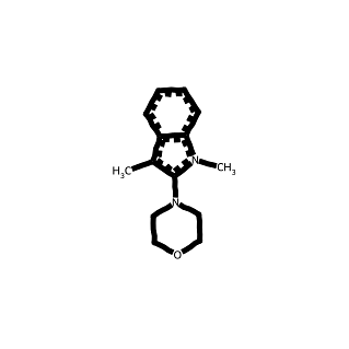 Cc1c(N2CCOCC2)n(C)c2ccccc12